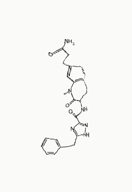 CN1C(=O)C(NC(=O)c2n[nH]c(Cc3ccccc3)n2)CCc2ccc(CCC(N)=O)cc21